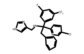 Fc1cc(C(F)(F)F)cc(C(Cc2ccccc2)(NCc2c[nH]cn2)c2ccc(Cl)cn2)c1